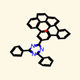 c1ccc(-c2nc(-c3ccccc3)nc(-c3cccc(-c4cccc5ccc6ccc7c8ccccc8ccc7c6c45)c3)n2)cc1